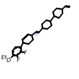 C=CC1CCC(C2CCC(/C=C/C3C=CC(c4ccc(OCC)c(F)c4F)CC3)CC2)CC1